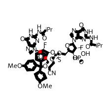 COc1ccc(C(OC[C@H]2O[C@@H](n3cnc4c(=O)[nH]c(NC(=O)C(C)C)nc43)[C@H](F)[C@@H]2OP(=S)(OCCC#N)OC[C@H]2O[C@@H](n3cnc4c(=O)[nH]c(NC(=O)C(C)C)nc43)[C@H](F)[C@@H]2O[PH](=O)O)(c2ccccc2)c2ccc(OC)cc2)cc1